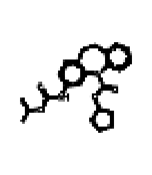 CC(C)OC(=O)Nc1ccc2c(c1)N(C(=O)OC1CCCC1)c1ccccc1CC2